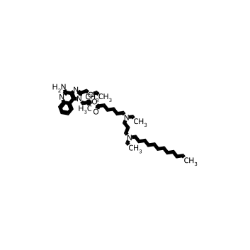 CCCCCCCCCCCCN(CC)CCCN(CC)CCCCCC(=O)OC(C)(C)Cn1c(COCC)nc2c(N)nc3ccccc3c21